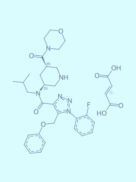 CC(C)CN(C(=O)c1nnn(-c2ccccc2F)c1COc1ccccc1)[C@@H]1CNC[C@H](C(=O)N2CCOCC2)C1.O=C(O)/C=C/C(=O)O